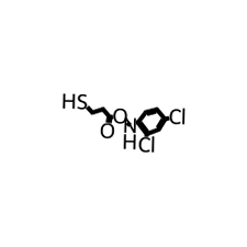 O=C(CCS)ONc1ccc(Cl)cc1Cl